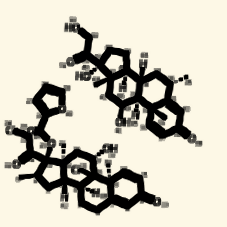 C[C@@H]1C[C@H]2[C@@H]3CCC4=CC(=O)C=C[C@]4(C)[C@@]3(Cl)[C@@H](O)C[C@]2(C)[C@@]1(OC(=O)c1ccco1)C(=O)CCl.C[C@H]1C[C@@H]2[C@H]([C@@H](O)C[C@@]3(C)[C@H]2CC[C@]3(O)C(=O)CO)[C@@]2(C)C=CC(=O)C=C12